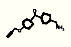 C#CCOc1ccc(C(=O)c2ccc(CN)cc2)cc1